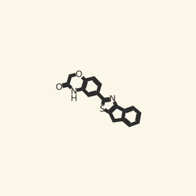 O=C1COc2ccc(-c3nc4c(s3)Cc3ccccc3-4)cc2N1